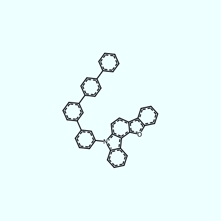 c1ccc(-c2ccc(-c3cccc(-c4cccc(-n5c6ccccc6c6c7oc8ccccc8c7ccc65)c4)c3)cc2)cc1